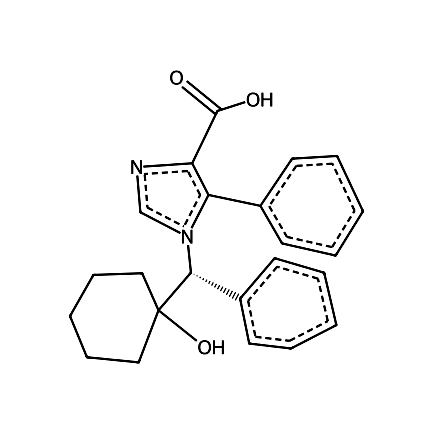 O=C(O)c1ncn([C@H](c2ccccc2)C2(O)CCCCC2)c1-c1ccccc1